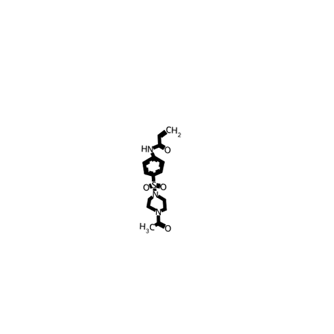 C=CC(=O)Nc1ccc(S(=O)(=O)N2CCN(C(C)=O)CC2)cc1